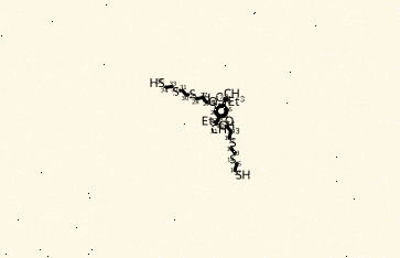 CCC(C)(C)c1cc(OCCCSCCSCCS)c(C(C)(C)CC)cc1OCCCSCCSCCS